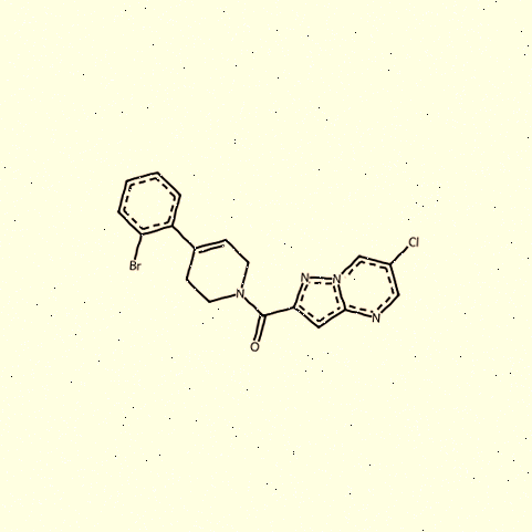 O=C(c1cc2ncc(Cl)cn2n1)N1CC=C(c2ccccc2Br)CC1